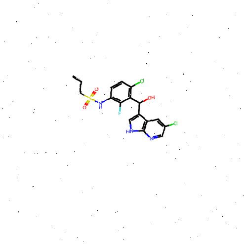 CCCS(=O)(=O)Nc1ccc(Cl)c(C(O)c2c[nH]c3ncc(Cl)cc23)c1F